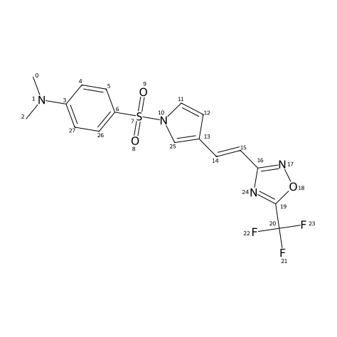 CN(C)c1ccc(S(=O)(=O)n2ccc(/C=C/c3noc(C(F)(F)F)n3)c2)cc1